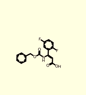 O=C(O)C=C(NC(=O)OCc1ccccc1)c1cc(F)ccc1F